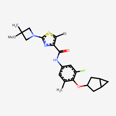 CCc1sc(N2CC(C)(OC)C2)nc1C(=O)Nc1cc(C)c(OC2CC3CC3C2)c(F)c1